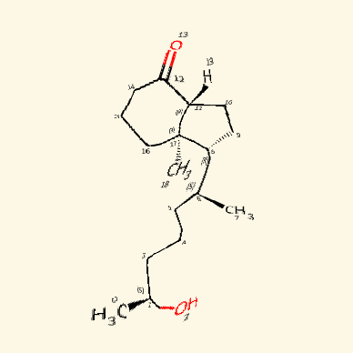 C[C@H](O)CCC[C@H](C)[C@H]1CC[C@H]2C(=O)CCC[C@]12C